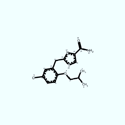 CC(C)COc1ccc(Cl)cc1Cc1nc(C(N)=O)cs1